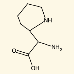 NC(C(=O)O)C1CCCCN1